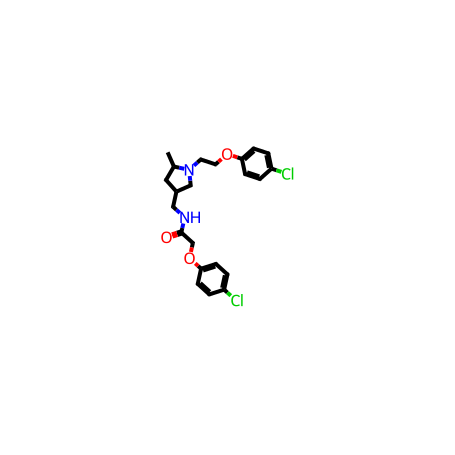 CC1CC(CNC(=O)COc2ccc(Cl)cc2)CN1CCOc1ccc(Cl)cc1